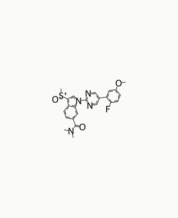 COc1ccc(F)c(-c2cnc(-n3cc([S+](C)[O-])c4ccc(C(=O)N(C)C)cc43)nc2)c1